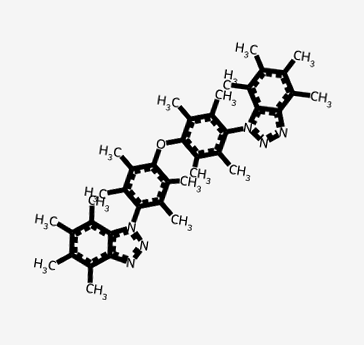 Cc1c(C)c(-n2nnc3c(C)c(C)c(C)c(C)c32)c(C)c(C)c1Oc1c(C)c(C)c(-n2nnc3c(C)c(C)c(C)c(C)c32)c(C)c1C